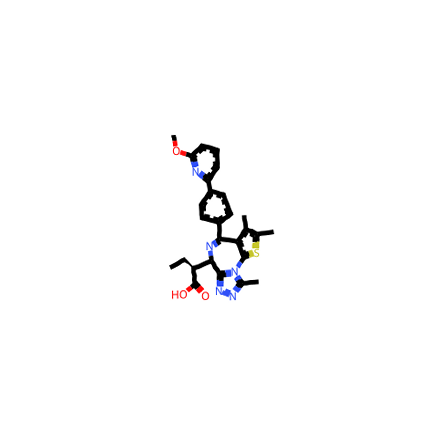 CC[C@H](C(=O)O)C1N=C(c2ccc(-c3cccc(OC)n3)cc2)c2c(sc(C)c2C)-n2c(C)nnc21